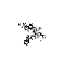 CCC1C[C@@H](C(=O)NCc2ccc3c(c2)nnn3C)N(C(=O)[C@H](N)CCC(=O)N2CCCC2)C1